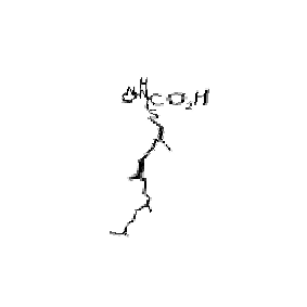 CC(C)=CCCC(C)=CCCC(C)=CCCC(C)=CCSCC(NC1=NCCC1)C(=O)O